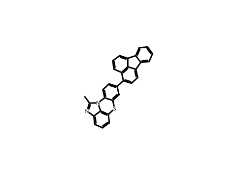 Cc1nc2cccc3c2n1-c1ccc(-c2ccc4c5c(cccc25)-c2ccccc2-4)cc1S3